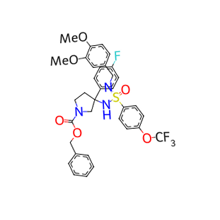 COc1ccc(CN=S(=O)(NC2(c3ccc(F)cc3)CCN(C(=O)OCc3ccccc3)C2)c2ccc(OC(F)(F)F)cc2)cc1OC